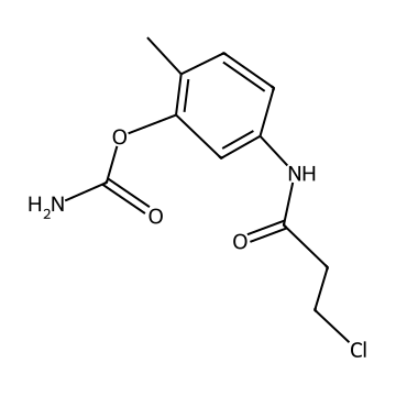 Cc1ccc(NC(=O)CCCl)cc1OC(N)=O